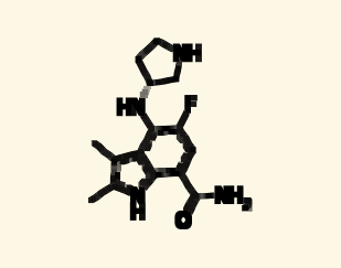 Cc1[nH]c2c(C(N)=O)cc(F)c(N[C@@H]3CCNC3)c2c1C